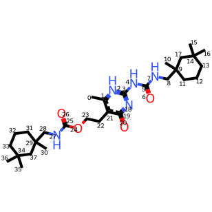 Cc1[nH]c(NC(=O)NCC2(C)CCCC(C)(C)C2)nc(=O)c1CCOC(=O)NCC1(C)CCCC(C)(C)C1